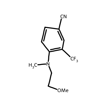 COCCN(C)c1ccc(C#N)cc1C(F)(F)F